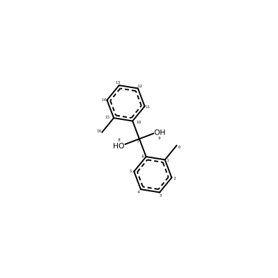 Cc1ccccc1C(O)(O)c1ccccc1C